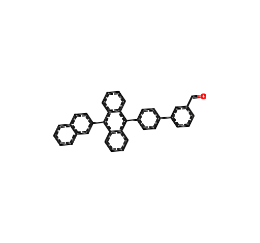 O=Cc1cccc(-c2ccc(-c3c4ccccc4c(-c4ccc5ccccc5c4)c4ccccc34)cc2)c1